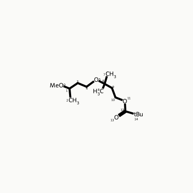 COC(C)CCOC(C)(C)CCOC(=O)C(C)(C)C